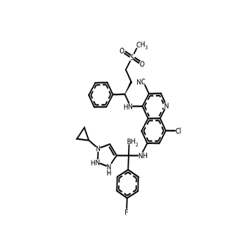 BC(Nc1cc(Cl)c2ncc(C#N)c(N[C@H](CCS(C)(=O)=O)c3ccccc3)c2c1)(C1=CN(C2CC2)NN1)c1ccc(F)cc1